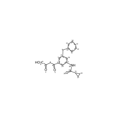 O=C(O)C(=O)CC(=O)c1cc(Cc2ccccc2)cc(NC(=O)C2CC2)c1